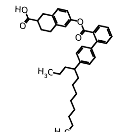 CCCCCCCCC(CCC)c1ccc(-c2ccccc2C(=O)Oc2ccc3c(c2)CCC(C(=O)O)C3)cc1